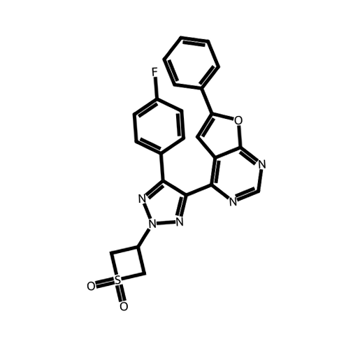 O=S1(=O)CC(n2nc(-c3ccc(F)cc3)c(-c3ncnc4oc(-c5ccccc5)cc34)n2)C1